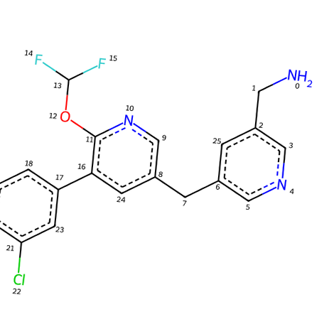 NCc1cncc(Cc2cnc(OC(F)F)c(-c3cccc(Cl)c3)c2)c1